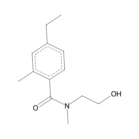 CCc1ccc(C(=O)N(C)CCO)c(C)c1